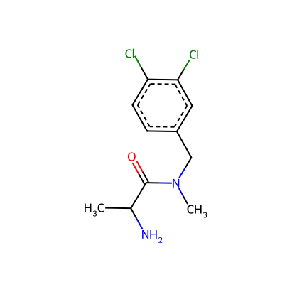 CC(N)C(=O)N(C)Cc1ccc(Cl)c(Cl)c1